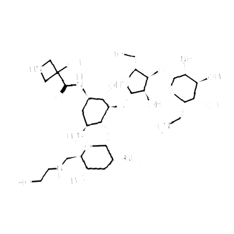 NC[C@@H]1O[C@H](O[C@H]2[C@@H](O)[C@H](O[C@@H]3[C@@H](O)[C@H](NC(=O)C4(O)CNC4)C[C@H](N)[C@H]3O[C@H]3O[C@H](CNCCO)[C@@H](O)C[C@H]3N)O[C@@H]2CO)[C@H](N)[C@@H](O)[C@@H]1O